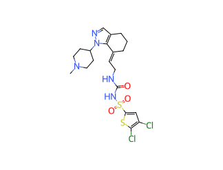 CN1CCC(n2ncc3c2/C(=C/CNC(=O)NS(=O)(=O)c2cc(Cl)c(Cl)s2)CCC3)CC1